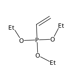 C=C[P](OCC)(OCC)OCC